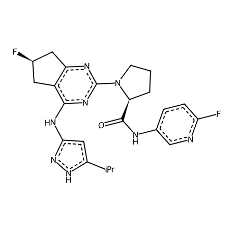 CC(C)c1cc(Nc2nc(N3CCC[C@H]3C(=O)Nc3ccc(F)nc3)nc3c2C[C@@H](F)C3)n[nH]1